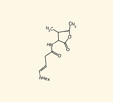 CCCCCC/C=C/CC(=O)NC1C(=O)OC(C)C1C